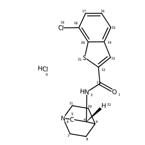 Cl.O=C(N[C@H]1CN2CCC1CC2)c1cc2cccc(Cl)c2s1